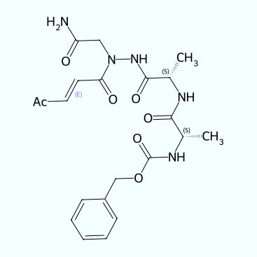 CC(=O)/C=C/C(=O)N(CC(N)=O)NC(=O)[C@H](C)NC(=O)[C@H](C)NC(=O)OCc1ccccc1